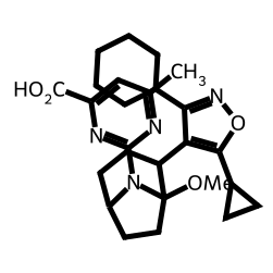 COC12CCC(CCC1c1c(C3CCCCC3)noc1C1CC1)N2c1nc(C)cc(C(=O)O)n1